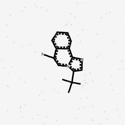 CC(C)(C)c1cnc2c3ccccc3c(F)cn12